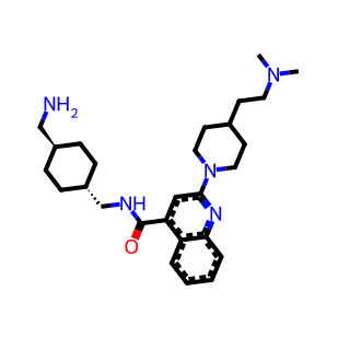 CN(C)CCC1CCN(c2cc(C(=O)NC[C@H]3CC[C@H](CN)CC3)c3ccccc3n2)CC1